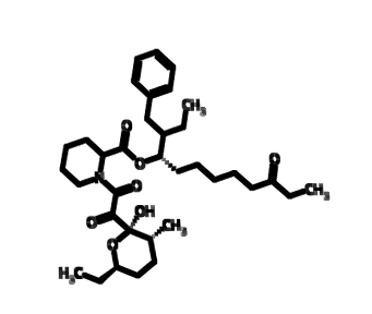 CCC(=O)CCCCC[C@H](OC(=O)C1CCCCN1C(=O)C(=O)[C@]1(O)O[C@H](CC)CC[C@H]1C)C(CC)Cc1ccccc1